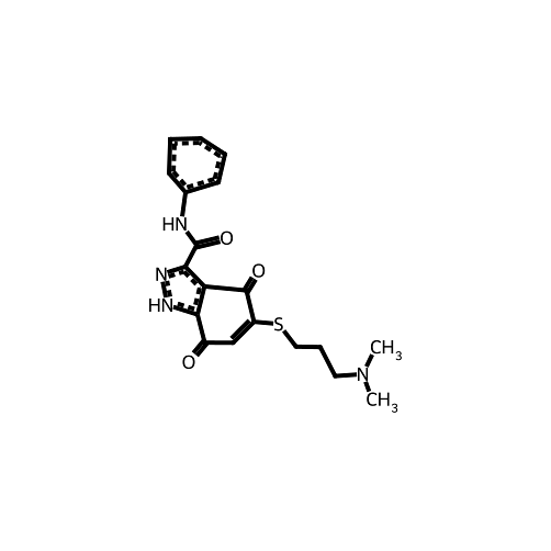 CN(C)CCCSC1=CC(=O)c2[nH]nc(C(=O)Nc3ccccc3)c2C1=O